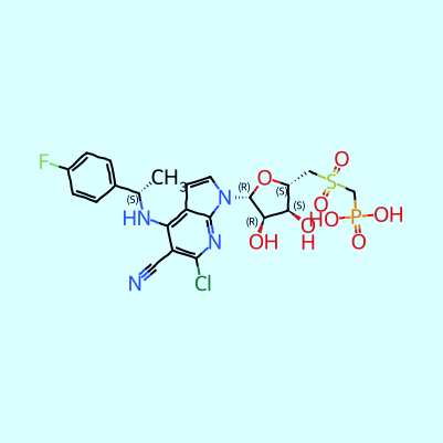 C[C@H](Nc1c(C#N)c(Cl)nc2c1ccn2[C@@H]1O[C@H](CS(=O)(=O)CP(=O)(O)O)[C@@H](O)[C@H]1O)c1ccc(F)cc1